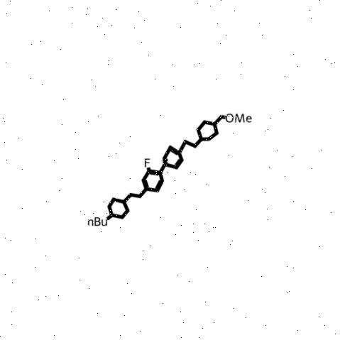 CCCCC1CCC(CCc2ccc(-c3ccc(CCC4CCC(COC)CC4)cc3)c(F)c2)CC1